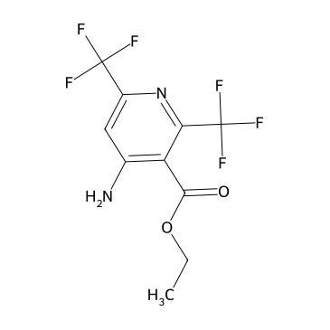 CCOC(=O)c1c(N)cc(C(F)(F)F)nc1C(F)(F)F